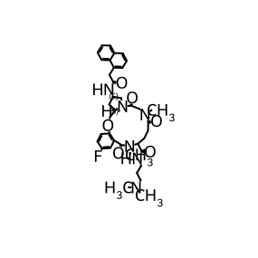 CN(C)CCCNC(=O)C1CCC(=O)N(C)CC(=O)N2C[C@@H](NC(=O)Cc3cccc4ccccc34)C[C@H]2COc2ccc(F)cc2C(=O)N1C